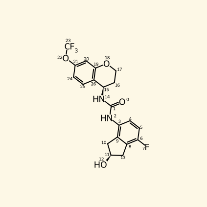 O=C(Nc1ccc(F)c2c1C[C@H](O)C2)N[C@@H]1CCOc2cc(OC(F)(F)F)ccc21